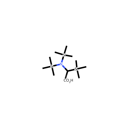 C[Si](C)(C)C(C(=O)O)N([Si](C)(C)C)[Si](C)(C)C